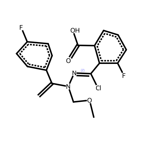 C=C(c1ccc(F)cc1)N(COC)/N=C(\Cl)c1c(F)cccc1C(=O)O